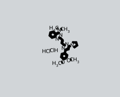 COc1ccc(-c2cc(N3CCCC3)nc(C=Cc3nc(N(C)C)c4ccccc4n3)n2)cc1OC.Cl.Cl